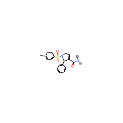 CCN(CC)C(=O)C1=CCN(S(=O)(=O)c2ccc(C)cc2)C1c1ccccc1